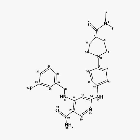 CN(C)C(=O)C1CCN(c2ccc(Nc3cc(NCc4cccc(F)c4)c(C(N)=O)nn3)cc2)CC1